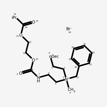 CCCCCCCCCCCC[N+](C)(CCNC(=O)OCCOC(=O)C(C)C)Cc1ccccc1.[Br-]